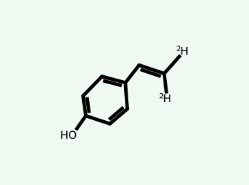 [2H]C([2H])=Cc1ccc(O)cc1